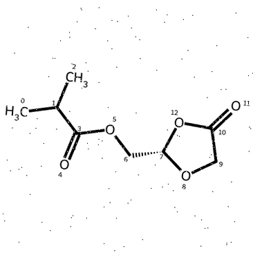 CC(C)C(=O)OC[C@H]1OCC(=O)O1